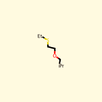 CCSCCOCC(C)C